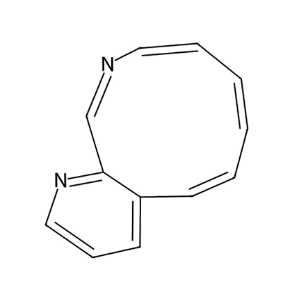 c1cccc2cccnc2cncc1